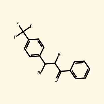 O=C(c1ccccc1)C(Br)C(Br)c1ccc(C(F)(F)F)cc1